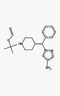 CC(C)(C)OC=O.Nc1cnn(C(c2ccccc2)C2CCNCC2)c1